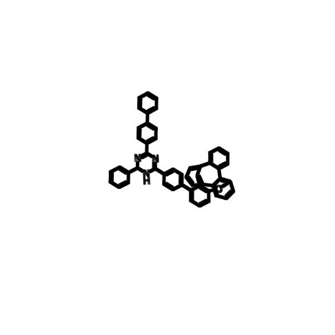 c1ccc(-c2ccc(C3=NC(c4ccccc4)NC(c4ccc(-c5cccc6c5-c5c7cccc5-c5cccc(c5-c5ccccc5-7)O6)cc4)=N3)cc2)cc1